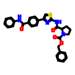 O=C(Nc1ccccc1)c1ccc(-c2csc(NC(=O)C3CCCN3C(=O)OCc3ccccc3)n2)cc1